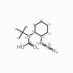 CC(C)(C)N(C(=O)O)[C@H]1CCCC[C@H]1N=[N+]=[N-]